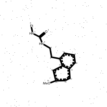 CCNC(=O)NCCc1cccc2ccc(OC)cc12